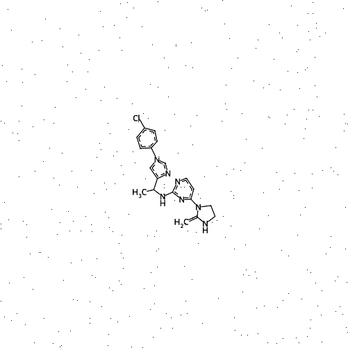 C=C1NCCN1c1ccnc(NC(C)c2cn(-c3ccc(Cl)cc3)cn2)n1